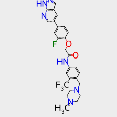 CN1CCN(Cc2ccc(NC(=O)COc3ccc(-c4cnc5[nH]ncc5c4)cc3F)cc2C(F)(F)F)CC1